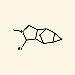 CC(C)C1C2C3CC(C4CC43)C2CN1C